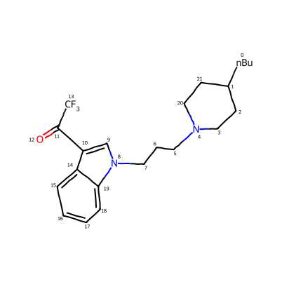 CCCCC1CCN(CCCn2cc(C(=O)C(F)(F)F)c3ccccc32)CC1